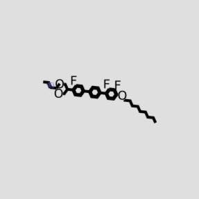 C/C=C/C1OCC(c2ccc(-c3ccc(-c4ccc(OCCCCCCCCC)c(F)c4F)cc3)cc2F)CO1